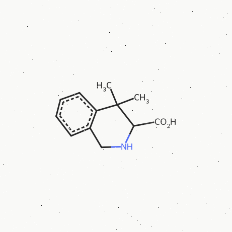 CC1(C)c2ccccc2CNC1C(=O)O